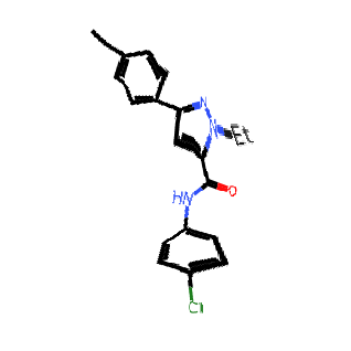 CCn1nc(-c2ccc(C)cc2)cc1C(=O)Nc1ccc(Cl)cc1